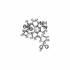 COC(=O)c1ccc(-c2cnc3[nH]c4ccc(N(C)S(=O)(=O)c5cccs5)cc4c3c2-c2ccccc2)cc1